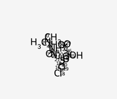 CN(C)CCNC(=O)N1CCC([S+]([O-])c2ccc(Cl)cc2)CC1.O=C(O)C=CC(=O)O